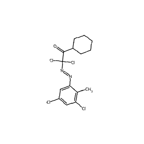 Cc1c(Cl)cc(Cl)cc1N=NC(Cl)(Cl)C(=O)C1CCCCC1